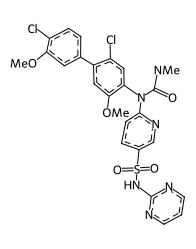 CNC(=O)N(c1ccc(S(=O)(=O)Nc2ncccn2)cn1)c1cc(Cl)c(-c2ccc(Cl)c(OC)c2)cc1OC